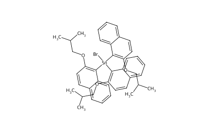 CC(C)COc1ccc2ccccc2[c]1[Sn]([Br])([c]1c(OCC(C)C)ccc2ccccc12)[c]1c(OCC(C)C)ccc2ccccc12